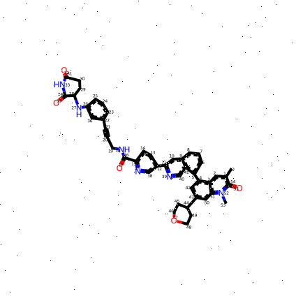 Cc1cc2c(-c3cccc4cc(-c5ccc(C(=O)NCC#Cc6cccc(NC7CCC(=O)NC7=O)c6)nc5)ncc34)cc(C3CCOCC3)cc2n(C)c1=O